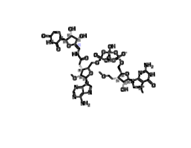 COCC[C@H]1[C@@H](O)[C@H](n2c[n+](C)c3c(=O)[nH]c(N)nc32)O[C@@H]1COP(=O)([O-])OP(=O)(O)OP(=O)(O)OCC1O[C@@H](n2cnc3c(N)ncnc32)[C@H](OC)[C@@H]1CC(=O)N/C=C1\O[C@@H](n2ccc(=O)[nH]c2=O)[C@H](O)[C@@H]1O